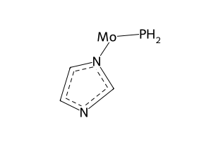 [PH2][Mo][n]1ccnc1